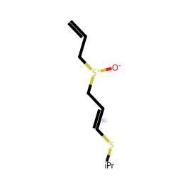 C=CC[S+]([O-])C/C=C/SC(C)C